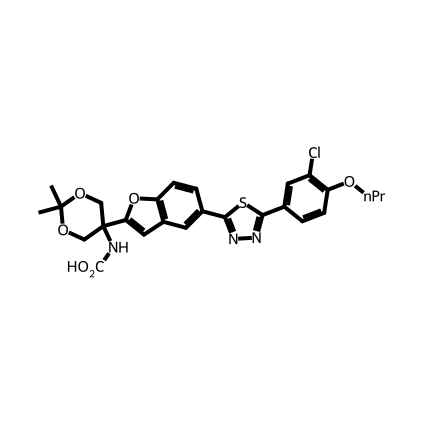 CCCOc1ccc(-c2nnc(-c3ccc4oc(C5(NC(=O)O)COC(C)(C)OC5)cc4c3)s2)cc1Cl